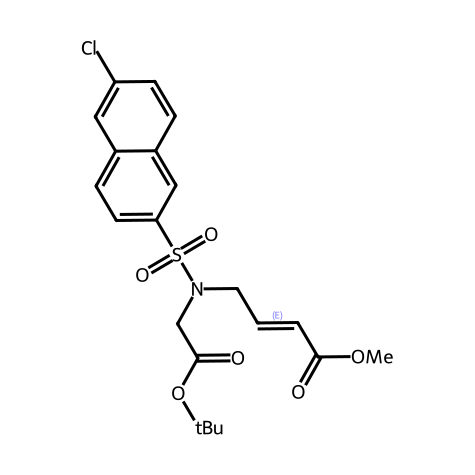 COC(=O)/C=C/CN(CC(=O)OC(C)(C)C)S(=O)(=O)c1ccc2cc(Cl)ccc2c1